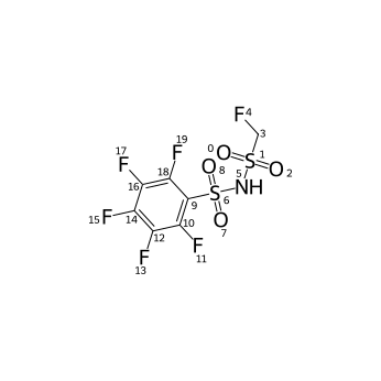 O=S(=O)(CF)NS(=O)(=O)c1c(F)c(F)c(F)c(F)c1F